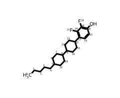 CCCCCC1CCC(C2CCC(c3ccc(O)c(F)c3F)CC2)CC1